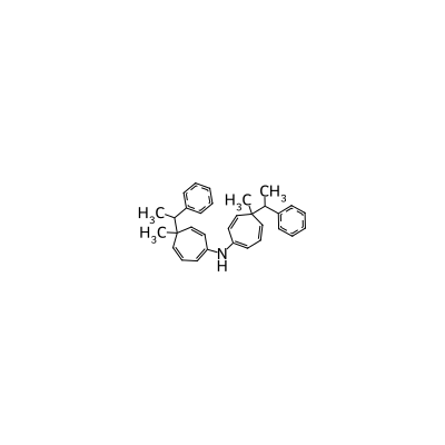 CC(c1ccccc1)C1(C)C=CC=C(NC2=CC=CC(C)(C(C)c3ccccc3)C=C2)C=C1